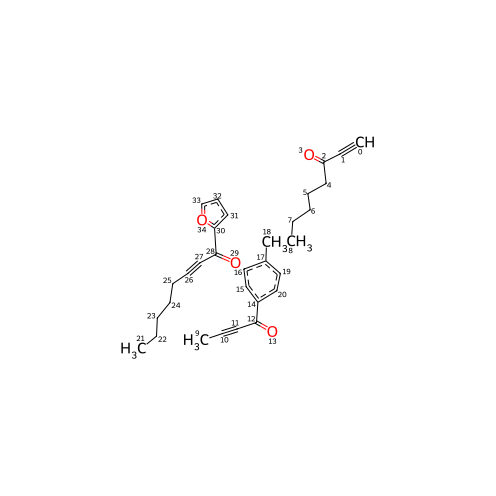 C#CC(=O)CCCCC.CC#CC(=O)c1ccc(C)cc1.CCCCCC#CC(=O)c1ccco1